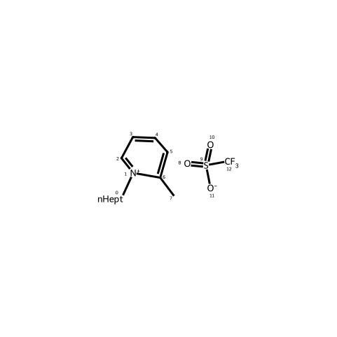 CCCCCCC[n+]1ccccc1C.O=S(=O)([O-])C(F)(F)F